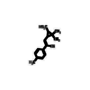 Cc1ccc(C(C#N)=CC2C(C(=O)O)C2(C)C)cc1